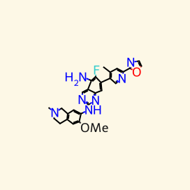 COc1cc2c(cc1Nc1ncc3c(N)c(F)c(-c4cnc(-c5ncco5)cc4C)cc3n1)CN(C)CC2